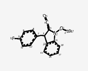 CC(C)(C)ON1C(=C=O)C(c2ccc(F)cc2)c2ccccc21